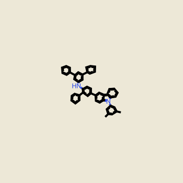 Cc1cc(C)cc(-n2c3ccccc3c3cc(-c4ccc(Nc5cc(-c6ccccc6)cc(-c6ccccc6)c5)c(-c5ccccc5)c4)ccc32)c1